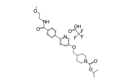 COCCNC(=O)c1ccc(-c2ccc(OCC3CCN(C(=O)OC(C)C)CC3)cn2)cc1.O=C(O)C(F)(F)F